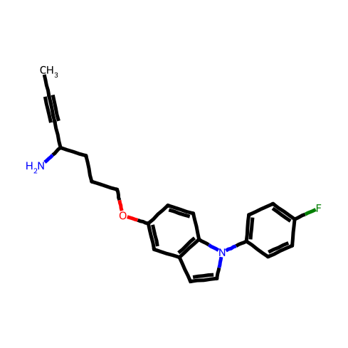 CC#CC(N)CCCOc1ccc2c(ccn2-c2ccc(F)cc2)c1